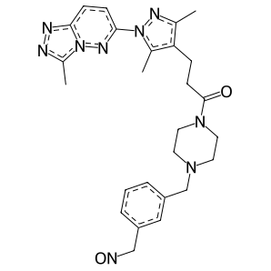 Cc1nn(-c2ccc3nnc(C)n3n2)c(C)c1CCC(=O)N1CCN(Cc2cccc(CN=O)c2)CC1